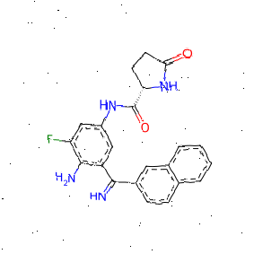 N=C(c1ccc2ccccc2c1)c1cc(NC(=O)[C@@H]2CCC(=O)N2)cc(F)c1N